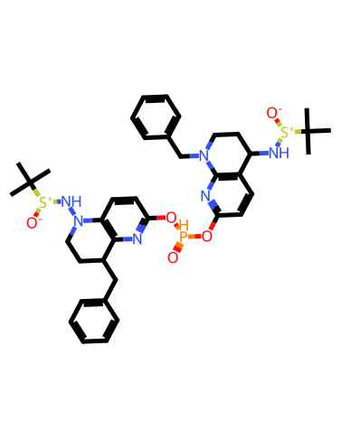 CC(C)(C)[S+]([O-])NC1CCN(Cc2ccccc2)c2nc(O[PH](=O)Oc3ccc4c(n3)C(Cc3ccccc3)CCN4N[S+]([O-])C(C)(C)C)ccc21